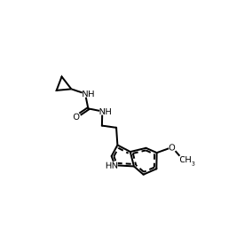 COc1ccc2[nH]cc(CCNC(=O)NC3CC3)c2c1